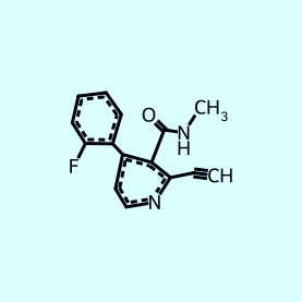 C#Cc1nccc(-c2ccccc2F)c1C(=O)NC